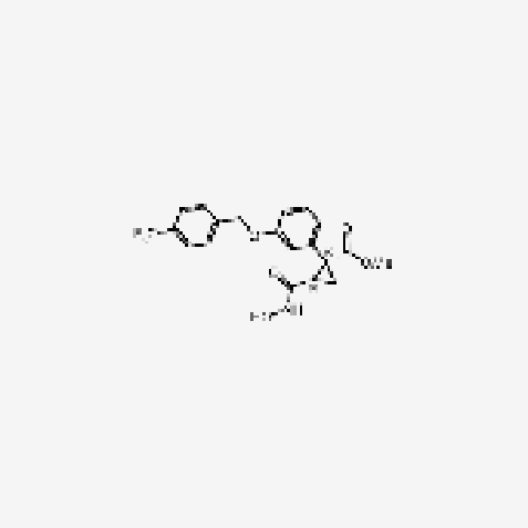 COC(=O)[C@]1(c2cccc(OCc3ccc(C(F)(F)F)cc3)c2)C[C@H]1C(=O)NO